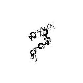 Cc1cc(-c2cnc(Nc3ccc(CN4CCN(C)CC4)cn3)s2)nc(OC2CCC3(CC2)CC3)n1